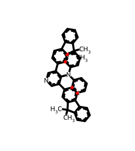 CC1(C)c2ccccc2-c2ccc(-c3cncc(-c4ccc5c(c4)C(C)(C)c4ccccc4-5)c3N(c3cccnc3)c3cccnc3)cc21